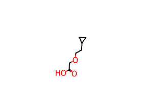 O=C(O)COCCC1CC1